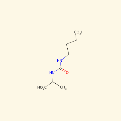 CC(NC(=O)NCCCC(=O)O)C(=O)O